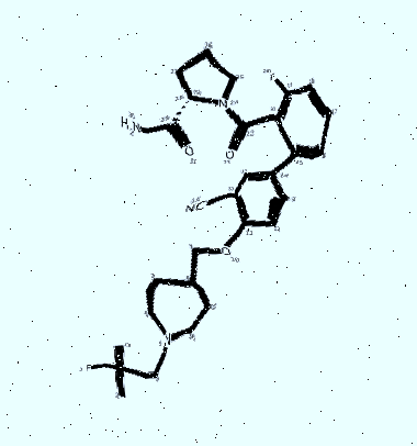 CC(C)(F)CN1CCC(COc2ccc(-c3cccc(F)c3C(=O)N3CCC[C@H]3C(N)=O)cc2C#N)CC1